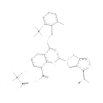 C[C@H](O)c1n[nH]c2c1CN(c1nc(NCc3c(F)cccc3C(F)(F)F)c3cccc(C(N)=O)c3n1)C2.O=C(O)C(F)(F)F